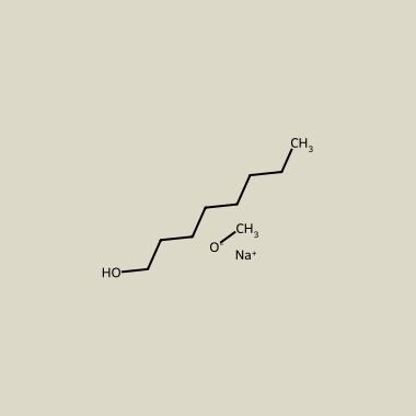 CCCCCCCCO.C[O-].[Na+]